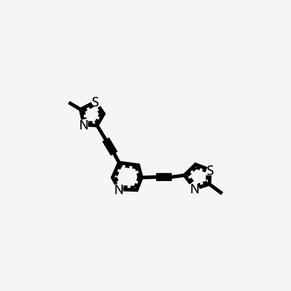 Cc1nc(C#Cc2cncc(C#Cc3csc(C)n3)c2)cs1